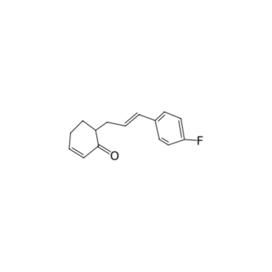 O=C1C=CCCC1CC=Cc1ccc(F)cc1